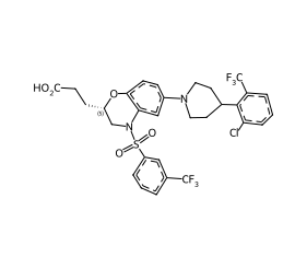 O=C(O)CC[C@H]1CN(S(=O)(=O)c2cccc(C(F)(F)F)c2)c2cc(N3CCC(c4c(Cl)cccc4C(F)(F)F)CC3)ccc2O1